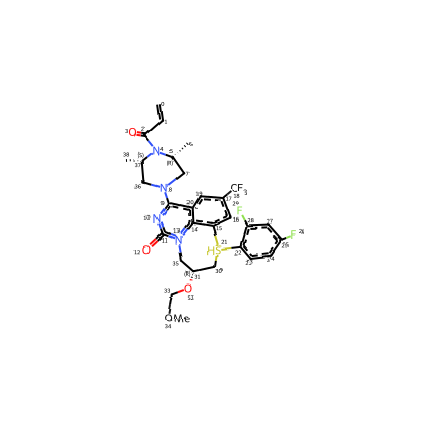 C=CC(=O)N1[C@H](C)CN(c2nc(=O)n3c4c(cc(C(F)(F)F)cc24)[SH](c2ccc(F)cc2F)C[C@H](OCOC)C3)C[C@@H]1C